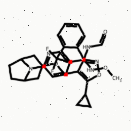 CONC(NC=O)c1ccc(N2C3CCC2CC(OCc2c(-c4ccccc4C(F)(F)F)noc2C2CC2)C3)nc1